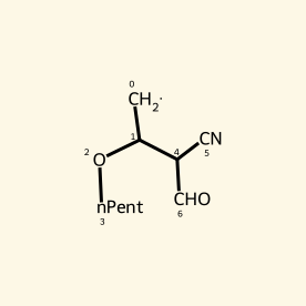 [CH2]C(OCCCCC)C(C#N)C=O